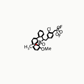 COc1ccccc1S(=O)(=O)[C](Cc1ccc(CP(=O)(OF)OF)c(Cl)c1)c1ccccc1-c1ccc(C)cc1